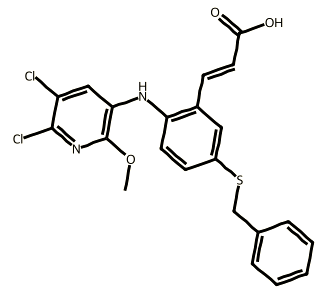 COc1nc(Cl)c(Cl)cc1Nc1ccc(SCc2ccccc2)cc1C=CC(=O)O